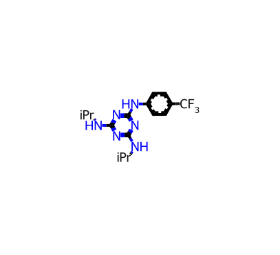 CC(C)Nc1nc(Nc2ccc(C(F)(F)F)cc2)nc(NC(C)C)n1